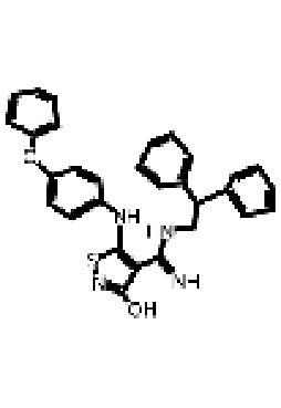 N=C(NCC(c1ccccc1)c1ccccc1)c1c(O)nsc1Nc1ccc(Oc2ccccc2)cc1